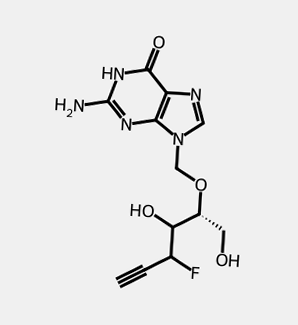 C#CC(F)C(O)[C@@H](CO)OCn1cnc2c(=O)[nH]c(N)nc21